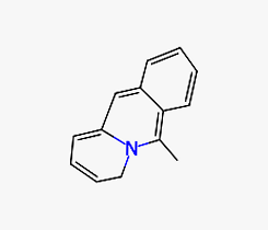 CC1=c2ccccc2=CC2=CC=CCN21